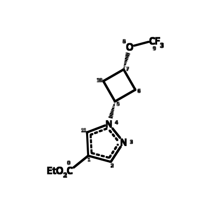 CCOC(=O)c1cnn([C@H]2C[C@@H](OC(F)(F)F)C2)c1